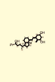 C=C1/C(=C\C=C2/CCC[C@]3(C)C([C@@H](C)CC[C@@H](O)C(C)C)CC[C@@H]23)C[C@@H](O)C[C@@H]1O